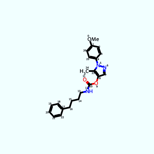 COc1ccc(-n2ncc(OC(=O)NCCCCc3ccccc3)c2C)cc1